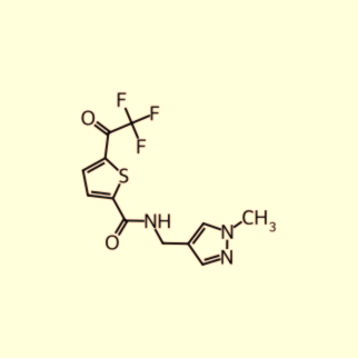 Cn1cc(CNC(=O)c2ccc(C(=O)C(F)(F)F)s2)cn1